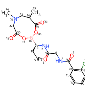 CC(C)C[C@H](NC(=O)CNC(=O)c1cc(Cl)ccc1Cl)B1OC(=O)CN(C)CC(C)C(=O)O1